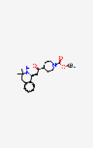 CC1(C)Cc2ccccc2/C(=C/C(=O)C2CCN(C(=O)OC(C)(C)C)CC2)N1